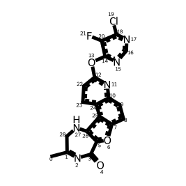 CC1=NC(=O)c2oc3ccc4nc(Oc5ncnc(Cl)c5F)ccc4c3c2NC1